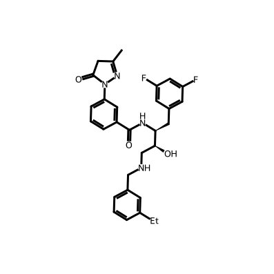 CCc1cccc(CNC[C@H](O)[C@H](Cc2cc(F)cc(F)c2)NC(=O)c2cccc(N3N=C(C)CC3=O)c2)c1